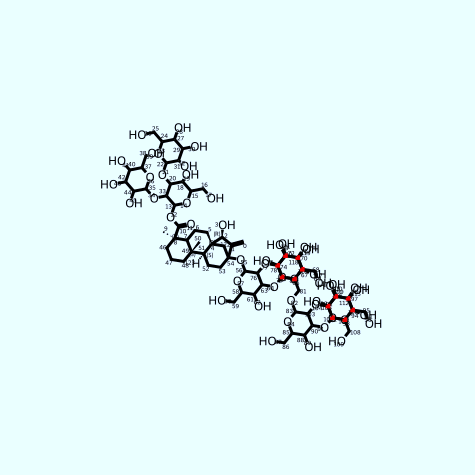 C=C1[C@H](O)[C@@]23CCC4[C@](C)(C(=O)OC5OC(CO)C(O)C(OC6OC(CO)C(O)C(O)C6O)C5OC5OC(CO)C(O)C(O)C5O)CCC[C@@]4(C)[C@@H]2CCC1(OC1OC(CO)C(O)C(OC2OC(CO)C(O)C(O)C2O)C1OC1OC(COC2OC(CO)C(O)C(OC4OC(CO)C(O)C(O)C4O)C2OC2OC(CO)C(O)C(O)C2O)C(O)C(O)C1O)C3